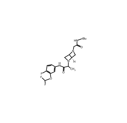 CC(C(=O)Nc1ccc(F)c(OC(F)F)c1)N1CC2[C@H]1CN2CC(=O)NC(C)(C)C